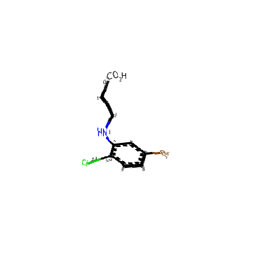 O=C(O)CCNc1cc(Br)ccc1Cl